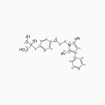 CCOC(CC)(Cc1ccc(OCCn2c(C(C)C)cc(-c3ccccc3)c2C(C)C)cc1)C(=O)O